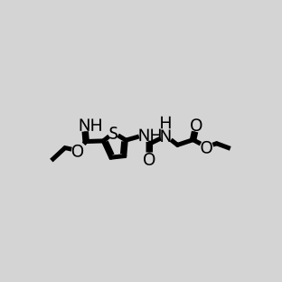 CCOC(=N)c1ccc(NC(=O)NCC(=O)OCC)s1